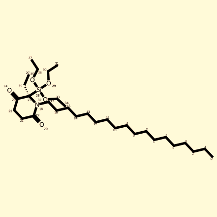 CCCCCCCCCCCCCCCCCCN1C(=O)CCC(=O)[C@@]1(CC)[Si](OCC)(OCC)OCC